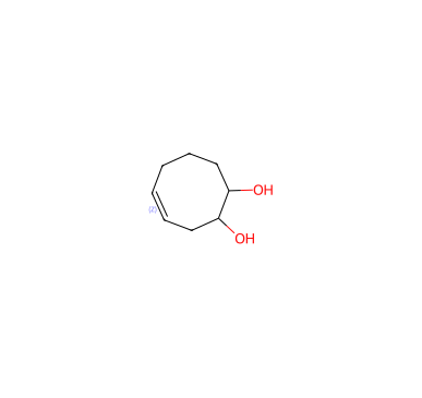 OC1C/C=C\CCCC1O